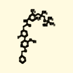 CCOc1cc(OCc2ccccc2)ncc1-c1ccc(CC(=O)Nc2ccc(CC(C)(C)CO[Si](C)(C)C(C)(C)C)c(C(F)(F)F)c2)cc1F